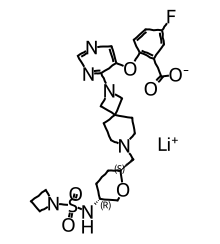 O=C([O-])c1cc(F)ccc1Oc1cncnc1N1CC2(CCN(C[C@@H]3CC[C@@H](NS(=O)(=O)N4CCC4)CO3)CC2)C1.[Li+]